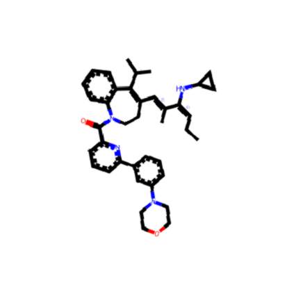 CC/C=C(NC1CC1)\C(C)=C\C1=C(C(C)C)c2ccccc2N(C(=O)c2cccc(-c3cccc(N4CCOCC4)c3)n2)CC1